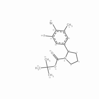 Cc1cc(C2CCCN2C(=O)OC(C)(C)C)cc(F)c1Br